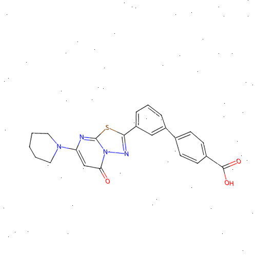 O=C(O)c1ccc(-c2cccc(-c3nn4c(=O)cc(N5CCCCC5)nc4s3)c2)cc1